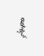 C=C/C=C\C=C(/C)C(=O)NCCC(=O)N1CCN(Cc2ccccc2)CC1